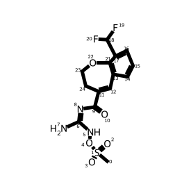 CS(=O)(=O)ONC(N)=NC(=O)C1=Cc2cccc(C(F)F)c2OCC1